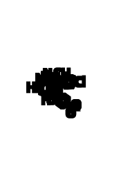 CN(Cc1ccc(Cl)cc1)c1ncnc2c1[C@H]1OC[C@@H](CN2)N1S(=O)(=O)c1ccc([N+](=O)[O-])cc1